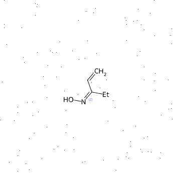 C=C/C(CC)=N\O